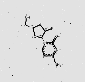 Nc1ccn([C@@H]2O[C@H](CO)CC2F)c(=O)n1